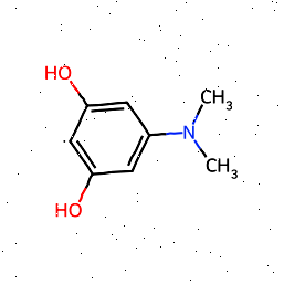 CN(C)c1cc(O)[c]c(O)c1